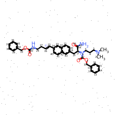 CN(C)CCCN(C(=O)OCc1ccccc1)C(Cc1ccc2cc(/C=C/CCNC(=O)OCc3ccccc3)ccc2c1)C(N)=O